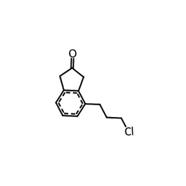 O=C1Cc2cccc(CCCCl)c2C1